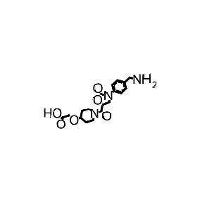 NCc1ccc(N2CC(C(=O)N3CCC(OCC(=O)O)CC3)OC2=O)cc1